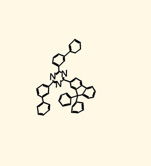 C1=CCCC(c2cccc(-c3nc(-c4cccc(-c5ccccc5)c4)nc(-c4ccc5c(c4)C(c4ccccc4)(c4ccccc4)c4ccccc4-5)n3)c2)=C1